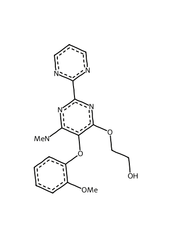 CNc1nc(-c2ncccn2)nc(OCCO)c1Oc1ccccc1OC